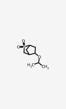 CC(C)OC1CC2CC1CS2(=O)=O